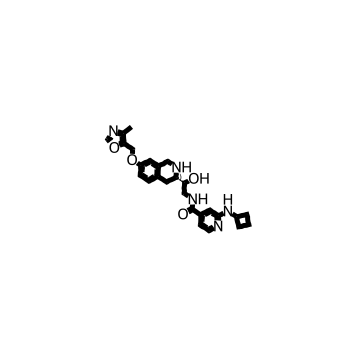 Cc1ncoc1COc1ccc2c(c1)CN[C@H](C(O)CNC(=O)c1ccnc(NC3CCC3)c1)C2